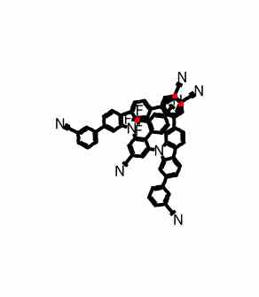 N#Cc1cccc(-c2ccc3c4ccc(-c5cccc(C#N)c5)cc4n(-c4cc(C#N)cc(-n5c6cc(-c7cccc(C#N)c7)ccc6c6ccc(-c7cccc(C#N)c7)cc65)c4-c4ccc(C#N)cc4C(F)(F)F)c3c2)c1